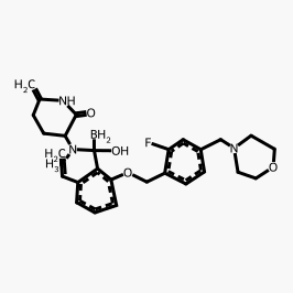 BC(O)(c1c(C=C)cccc1OCc1ccc(CN2CCOCC2)cc1F)N(C)C1CCC(=C)NC1=O